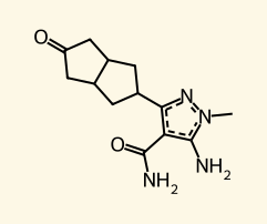 Cn1nc(C2CC3CC(=O)CC3C2)c(C(N)=O)c1N